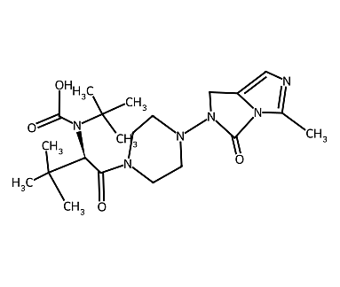 Cc1ncc2n1C(=O)N(N1CCN(C(=O)[C@H](N(C(=O)O)C(C)(C)C)C(C)(C)C)CC1)C2